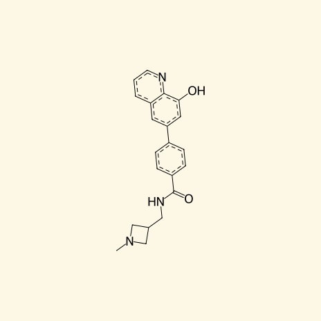 CN1CC(CNC(=O)c2ccc(-c3cc(O)c4ncccc4c3)cc2)C1